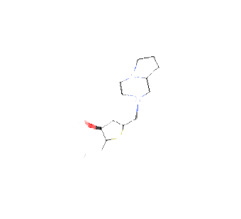 CC1SC(CN2CCN3CCCC3C2)CC1=O